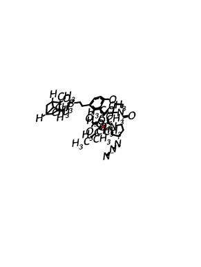 CC(C)(C)OC(=O)Oc1c(CCB2O[C@@H]3C[C@@H]4C[C@@H](C4(C)C)[C@]3(C)O2)ccc(OC2CN(C(=O)[C@@H]3C[C@H](N=[N+]=[N-])CN3C(=O)OC(C)(C)C)C2)c1C(=O)OC(C)(C)C